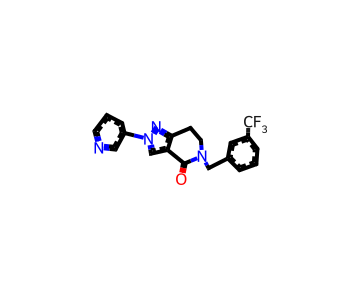 O=C1c2cn(-c3cccnc3)nc2CCN1Cc1cccc(C(F)(F)F)c1